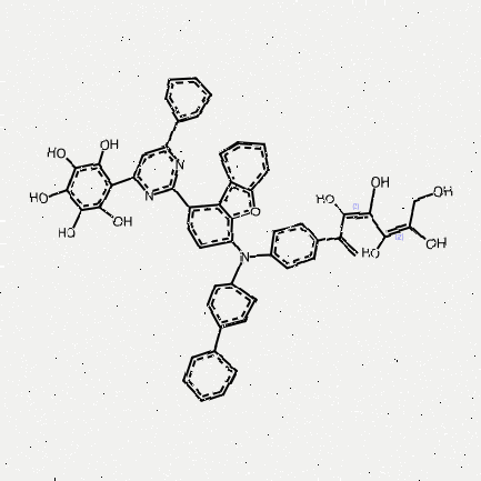 C=C(/C(O)=C(O)\C(O)=C(\O)CO)c1ccc(N(c2ccc(-c3ccccc3)cc2)c2ccc(-c3nc(-c4ccccc4)cc(-c4c(O)c(O)c(O)c(O)c4O)n3)c3c2oc2ccccc23)cc1